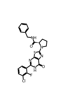 O=C(NCc1ccccc1)[C@H]1CCCN1c1nc2c(=O)[nH]c(-c3cccc(Cl)c3F)nc2s1